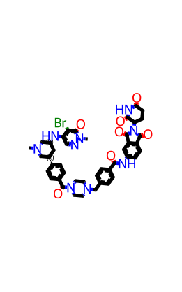 CN1C[C@H](Nc2cnn(C)c(=O)c2Br)C[C@H](c2ccc(C(=O)N3CCN(Cc4ccc(C(=O)Nc5ccc6c(c5)C(=O)N(C5CCC(=O)NC5=O)C6=O)cc4)CC3)cc2)C1